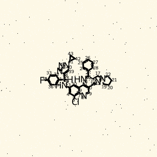 [2H]C(Nc1cc(Cl)c2ncc(C#N)c(N[C@H](CCN3CCCC3)c3ccccc3)c2c1)(c1ccc(F)cc1)c1cn(C2CC2)nn1